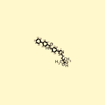 CC(C)(CCc1ncc(-c2ccc(NC(=O)c3ccc(-c4ccccc4)cc3)cc2)s1)C(=O)O